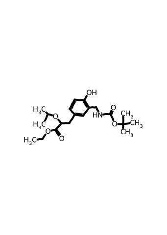 CCOC(=O)C(Cc1ccc(O)c(CNC(=O)OC(C)(C)C)c1)OC(C)C